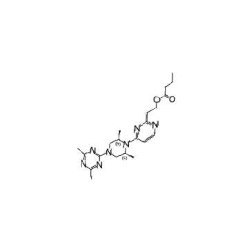 CCCC(=O)OCCc1nccc(N2[C@H](C)CN(c3nc(C)nc(C)n3)C[C@@H]2C)n1